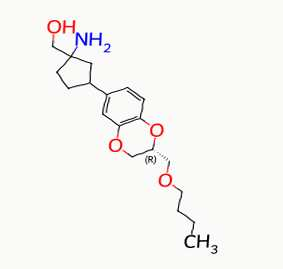 CCCCOC[C@@H]1COc2cc(C3CCC(N)(CO)C3)ccc2O1